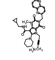 CC#CCn1c(N2CCC[C@@H](N)C2)c(C(=O)NCC2CC2)c2c1c(=O)n(Cc1ccc3ncccc3n1)c(=O)n2C